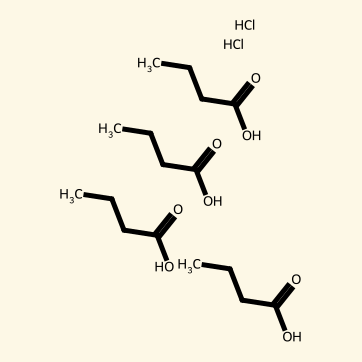 CCCC(=O)O.CCCC(=O)O.CCCC(=O)O.CCCC(=O)O.Cl.Cl